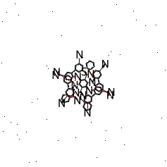 N#Cc1ccc2c(c1)c1cc(C#N)ccc1n2-c1c(-c2nc(-c3ccccc3)nc(-c3ccccc3)n2)c(-n2c3ccc(C#N)cc3c3cc(C#N)ccc32)c(-n2c3ccc(C#N)cc3c3cc(C#N)ccc32)c(-c2nc3ccccc3s2)c1-n1c2ccc(C#N)cc2c2cc(C#N)ccc21